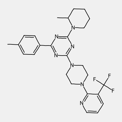 Cc1ccc(-c2nc(N3CCN(c4ncccc4C(F)(F)F)CC3)nc(N3CCCCC3C)n2)cc1